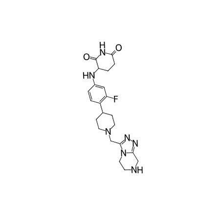 O=C1CCC(Nc2ccc(C3CCN(Cc4nnc5n4CCNC5)CC3)c(F)c2)C(=O)N1